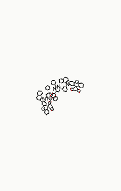 c1ccc(-c2cc(-n3c4cc5c(cc4c4ccc6ccccc6c43)Oc3ccccc3C53c4ccccc4-c4cc(-c5ccc(-c6cc(-c7cccc(-n8c9cc%10c(cc9c9ccc%11ccccc%11c98)Oc8ccccc8C%108c9ccccc9-c9ccccc98)c7)nc(-c7ccccc7)n6)cc5)ccc43)nc(-c3ccccc3)n2)cc1